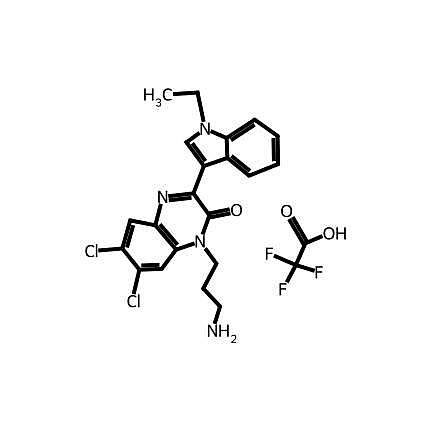 CCn1cc(-c2nc3cc(Cl)c(Cl)cc3n(CCCN)c2=O)c2ccccc21.O=C(O)C(F)(F)F